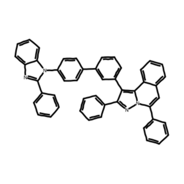 c1ccc(-c2nn3c(-c4ccccc4)cc4ccccc4c3c2-c2cccc(-c3ccc(-n4c(-c5ccccc5)nc5ccccc54)cc3)c2)cc1